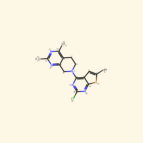 CCCc1cc2c(N3CCc4c(nc(C(F)(F)F)nc4C(F)(F)F)C3)nc(Cl)nc2s1